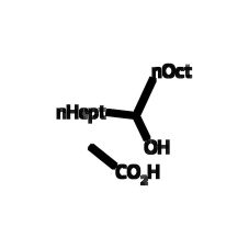 CC(=O)O.CCCCCCCCC(O)CCCCCCC